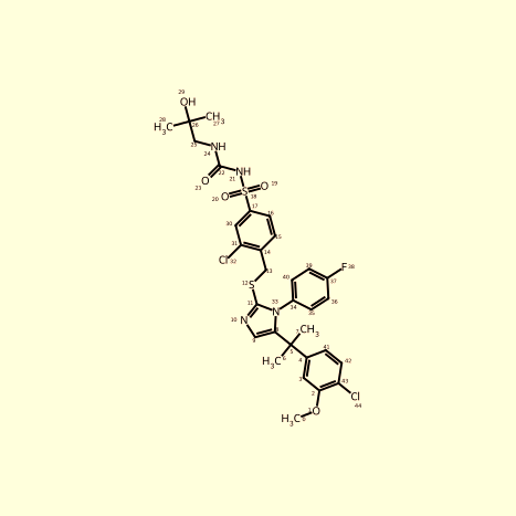 COc1cc(C(C)(C)c2cnc(SCc3ccc(S(=O)(=O)NC(=O)NCC(C)(C)O)cc3Cl)n2-c2ccc(F)cc2)ccc1Cl